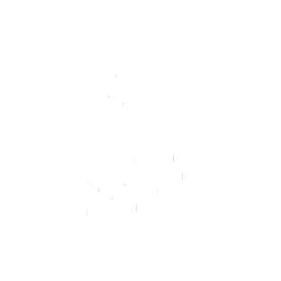 CCC(C)(C)c1cc(CCCOS(=O)(=O)c2ccccc2)cc(C(C)(C)CC)c1